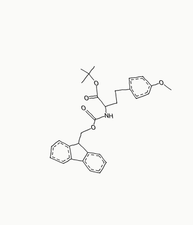 COc1ccc(CCC(NC(=O)OCC2c3ccccc3-c3ccccc32)C(=O)OC(C)(C)C)cc1